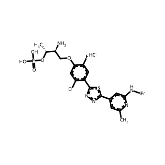 Cc1cc(-c2nnc(-c3cc(F)c(OC[C@H](N)[C@@H](C)OP(=O)(O)O)cc3Cl)s2)cc(NC(C)C)n1.Cl